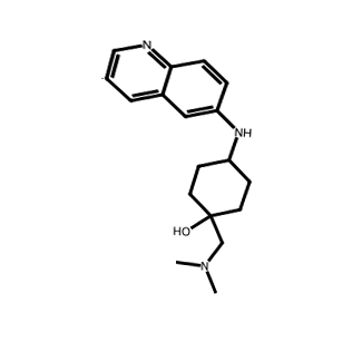 CN(C)CC1(O)CCC(Nc2ccc3nc[c]cc3c2)CC1